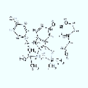 CC(C)(O)Cc1c(SC(C)(C)C)c2cc(OC3CN(CC=O)CCO3)ccc2n1Cc1ccc(Cl)cc1